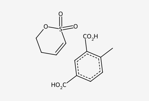 Cc1ccc(C(=O)O)cc1C(=O)O.O=S1(=O)C=CCCO1